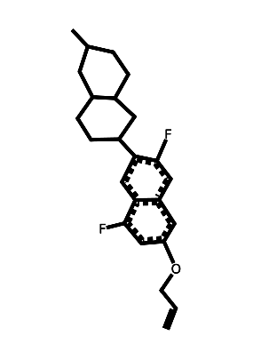 C=CCOc1cc(F)c2cc(C3CCC4CC(C)CCC4C3)c(F)cc2c1